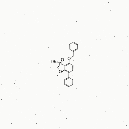 CC(C)(C)P1(=O)COc2c(-c3ccccc3)ccc(OCc3ccccc3)c21